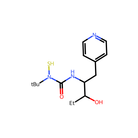 CCC(O)C(Cc1ccncc1)NC(=O)N(S)C(C)(C)C